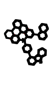 c1cc(-c2cccc3ccccc23)cc(N(c2ccc(-c3cccc4sc5ccccc5c34)cc2)c2ccccc2-c2cccc3cccc(C4CCCCC4)c23)c1